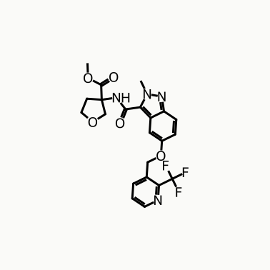 COC(=O)C1(NC(=O)c2c3cc(OCc4cccnc4C(F)(F)F)ccc3nn2C)CCOC1